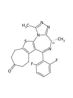 Cc1nnc2n1-c1sc3c(c1C(c1c(F)cccc1F)=N[C@H]2C)CCC(=O)CC3